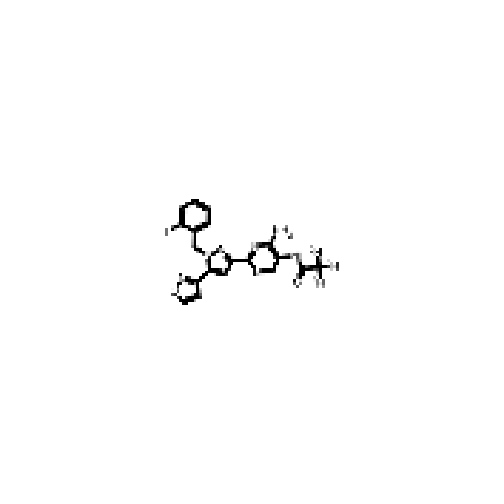 [2H]C([2H])([2H])C(=O)Nc1cnc(-c2cc(-c3ccon3)n(Cc3ccccc3F)n2)nc1N